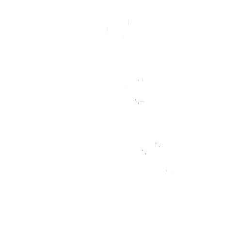 C#Cc1cc(C(F)(F)F)cc(S(=O)(=O)NC2CCCc3c2cnn3CC(=O)OCC)c1